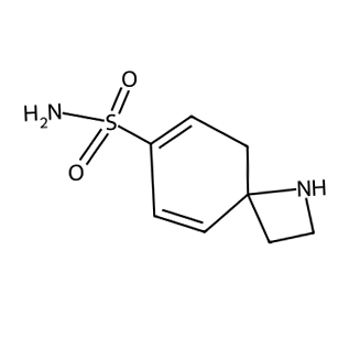 NS(=O)(=O)C1=CCC2(C=C1)CCN2